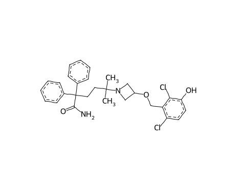 CC(C)(CCC(C(N)=O)(c1ccccc1)c1ccccc1)N1CC(OCc2c(Cl)ccc(O)c2Cl)C1